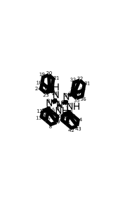 NN(C(=NC1C2CC3CC(C2)CC1C3)NC1C2CC3CC(C2)CC1C3)C(=NC1C2CC3CC(C2)CC1C3)NC1C2CC3CC(C2)CC1C3